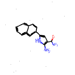 NC(=O)c1cc(-c2ccc3ccccc3c2)[nH]c1N